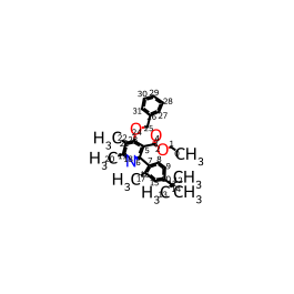 CCOC(=O)c1c(-c2ccc(C(C)(C)C)cc2C)nc(C)c(C)c1OCc1ccccc1